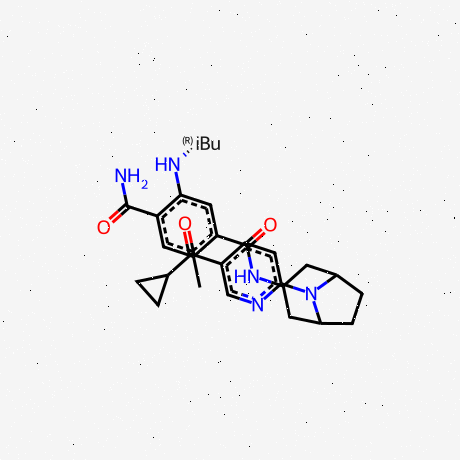 CC[C@@H](C)Nc1cc(C(=O)NC2CC3CCC(C2)N3c2ccc(C(=O)C3CC3)cn2)c(C)cc1C(N)=O